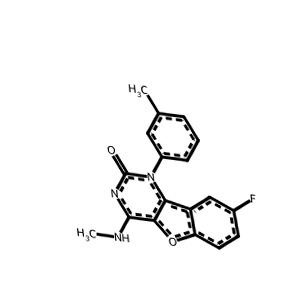 CNc1nc(=O)n(-c2cccc(C)c2)c2c1oc1ccc(F)cc12